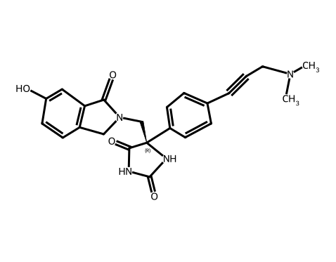 CN(C)CC#Cc1ccc([C@]2(CN3Cc4ccc(O)cc4C3=O)NC(=O)NC2=O)cc1